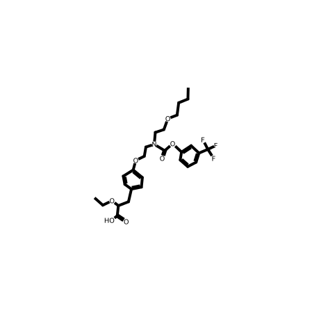 CCCCOCCN(CCOc1ccc(CC(OCC)C(=O)O)cc1)C(=O)Oc1cccc(C(F)(F)F)c1